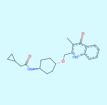 Cc1c(CO[C@H]2CC[C@H](NC(=O)CC3CC3)CC2)[nH]c2ccccc2c1=O